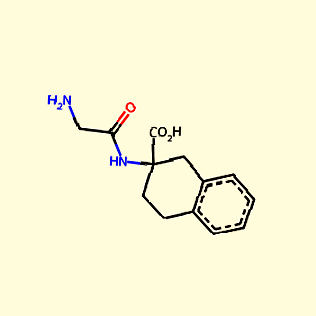 NCC(=O)NC1(C(=O)O)CCc2ccccc2C1